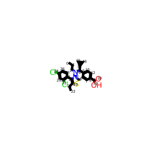 CCCN(C(c1ccc(C(=O)O)cc1)C1CC1)N1CSC(CC)=C1c1ccc(Cl)cc1Cl